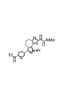 CCNc1ccc(-c2nn(C(C)C)c3c2CCCc2nc(NC(=O)NC)sc2-3)cn1